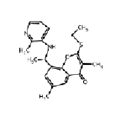 CCSc1oc2c([C@@H](C)Nc3cccnc3C)cc(C)cc2c(=O)c1C